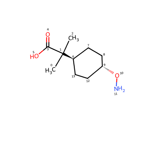 CC(C)(C(=O)O)[C@H]1CC[C@H](ON)CC1